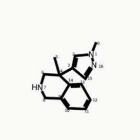 Cn1cc(C2(C)CNCc3ccccc32)cn1